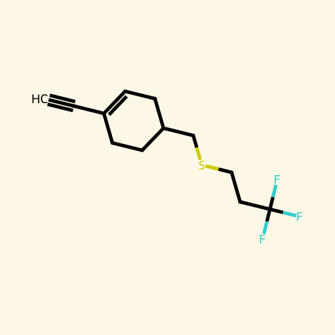 C#CC1=CCC(CSCCC(F)(F)F)CC1